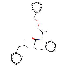 CCOC(=O)[C@H](Cc1ccccc1)C[C@@H](Cc1ccccc1)C(=O)N[C@@H](COCc1ccccc1)C(=O)O